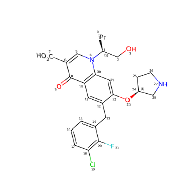 CC(C)[C@@H](CO)n1cc(C(=O)O)c(=O)c2cc(Cc3cccc(Cl)c3F)c(O[C@H]3CCNC3)cc21